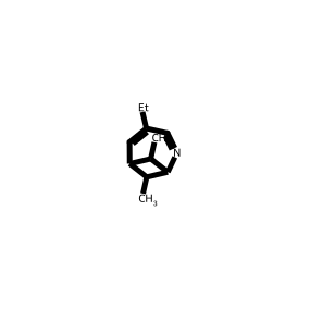 CCC1=CC2C(C)C(N=C1)C2C